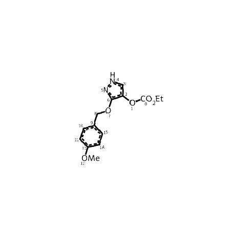 CCOC(=O)Oc1c[nH]nc1OCc1ccc(OC)cc1